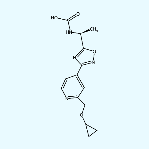 C[C@H](NC(=O)O)c1nc(-c2ccnc(COC3CC3)c2)no1